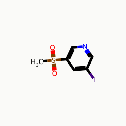 CS(=O)(=O)c1cncc(I)c1